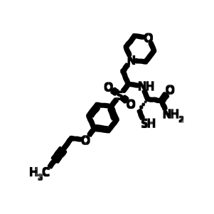 CC#CCOc1ccc(S(=O)(=O)C(CN2CCOCC2)N[C@@H](CS)C(N)=O)cc1